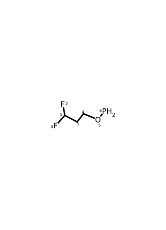 FC(F)CCOP